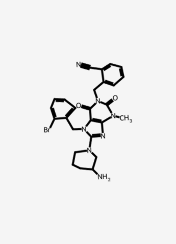 Cn1c(=O)n(Cc2ccccc2C#N)c(=O)c2c1nc(N1CCCC(N)C1)n2Cc1ccccc1Br